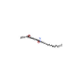 CCCCC/C=C/C/C=C/CCCCCCCCNC(=O)CCCCCCCCCCC(=O)OC